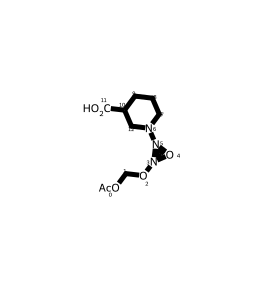 CC(=O)OCOn1on1N1CCCC(C(=O)O)C1